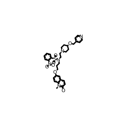 Cn1c(=O)ccc2cc(OCCCN(CCN3CCC(OCc4ccncc4)CC3)S(=O)(=O)c3ccccc3[N+](=O)[O-])ccc21